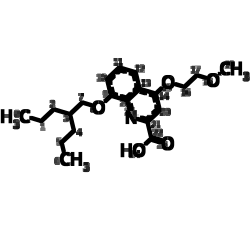 CCCC(CCC)COc1cccc2c(OCCOC)cc(C(=O)O)nc12